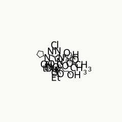 CCOP(=O)(OCC)C(C)(CCO)OC[C@@]12OC(C)(C)O[C@@H]1CO[C@H]2n1ncc2c(N(C(=O)OC(C)(C)C)C3CCCC3)nc(Cl)nc21